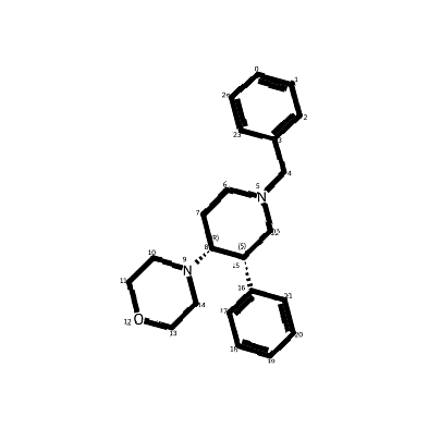 c1ccc(CN2CC[C@@H](N3CCOCC3)[C@@H](c3ccccc3)C2)cc1